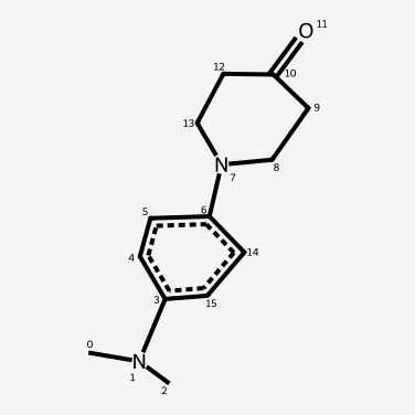 CN(C)c1ccc(N2CCC(=O)CC2)cc1